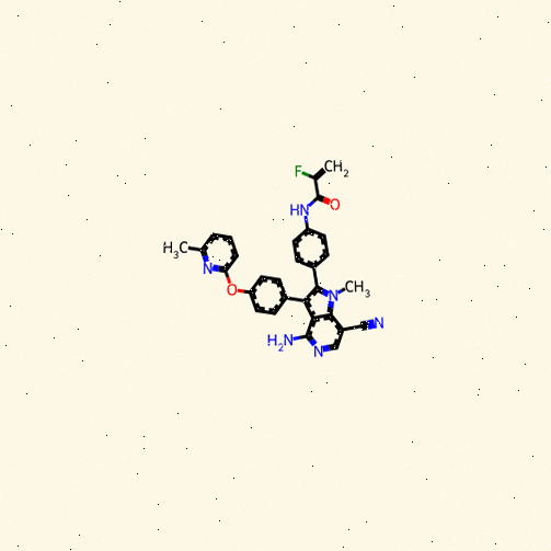 C=C(F)C(=O)Nc1ccc(-c2c(-c3ccc(Oc4cccc(C)n4)cc3)c3c(N)ncc(C#N)c3n2C)cc1